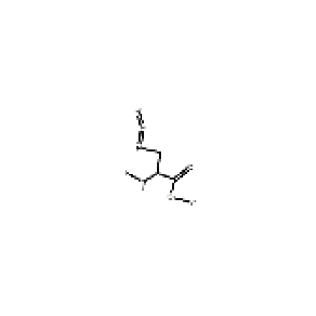 CCOC(=O)C(CN=[N+]=[N-])NI